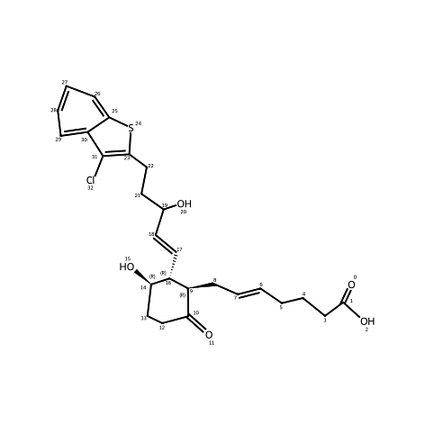 O=C(O)CCCC=CC[C@H]1C(=O)CC[C@@H](O)[C@@H]1C=CC(O)CCc1sc2ccccc2c1Cl